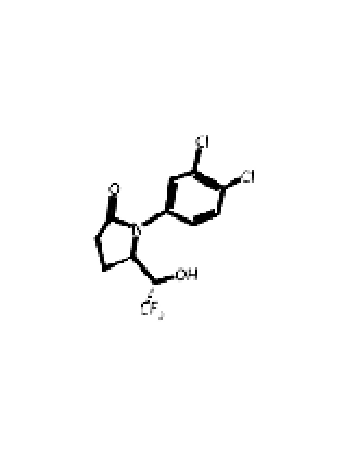 O=C1CC[C@H]([C@H](O)C(F)(F)F)N1c1ccc(Cl)c(Cl)c1